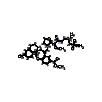 COC(=O)c1ccc2c(c1)N(C[C@@H]1CCO[C@H]1C(OC)/C(F)=C/C[C@H](C)CS(N)(=O)=O)C[C@@]1(CCCc3cc(Cl)ccc31)CO2